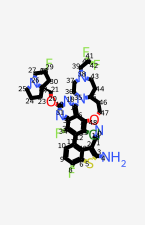 N#Cc1c(N)sc2c(F)ccc(-c3c(Cl)c4c5c(nc(OC[C@@]67CCCN6C[C@H](F)C7)nc5c3F)N3CCN(CC(F)F)CCC3CCO4)c12